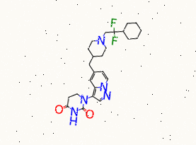 O=C1CCN(c2cnn3ccc(CC4CCN(CC(F)(F)C5CCCCC5)CC4)cc23)C(=O)N1